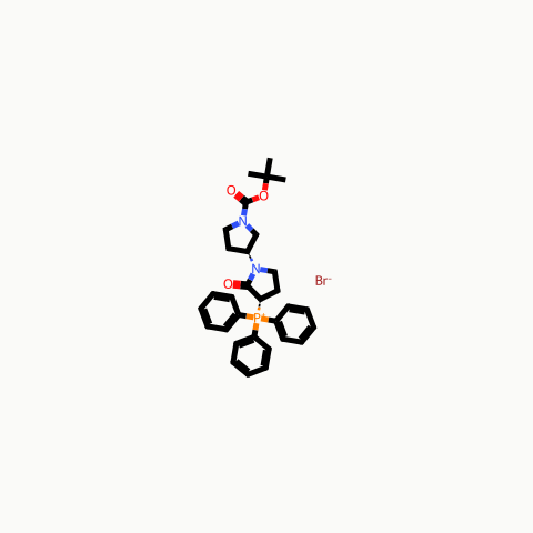 CC(C)(C)OC(=O)N1CC[C@@H](N2CC[C@H]([P+](c3ccccc3)(c3ccccc3)c3ccccc3)C2=O)C1.[Br-]